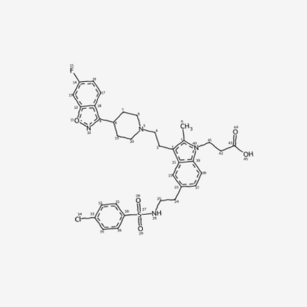 Cc1c(CCN2CCC(c3noc4cc(F)ccc34)CC2)c2cc(CCNS(=O)(=O)c3ccc(Cl)cc3)ccc2n1CCC(=O)O